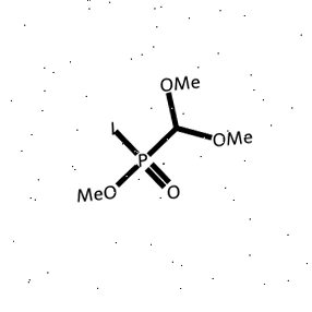 COC(OC)P(=O)(I)OC